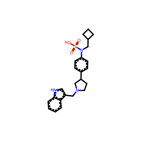 O=S(=O)(O)N(CC1CCC1)c1ccc(C2CCN(Cc3c[nH]c4ccccc34)C2)cc1